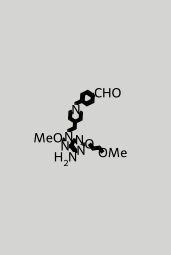 COCCOc1nc(N)c2nc(OC)n(CCC3CCN(Cc4ccc(C=O)cc4)CC3)c2n1